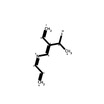 C=C/C=N\C=C(/C=C)C(C)I